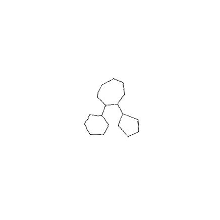 C1CCC([C]2CCCCCC2C2CCCC2)CC1